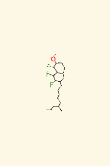 CCCC(C)CCCCCC1CC2CCC(OC)C(F)C2C(F)C1F